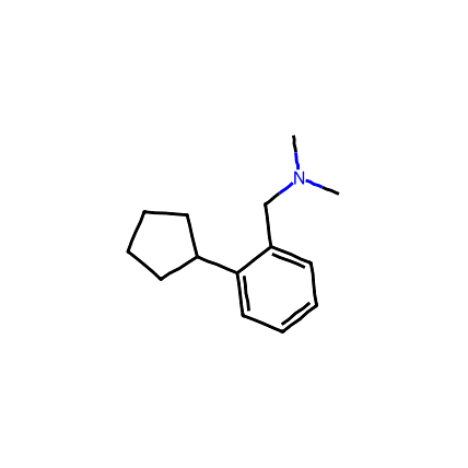 CN(C)Cc1ccccc1C1CCCC1